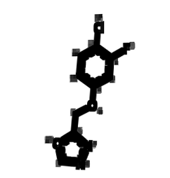 Fc1cc(OCc2nnco2)ccc1Cl